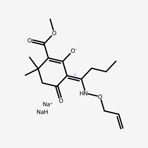 C=CCON/C(CCC)=C1\C(=O)CC(C)(C)C(C(=O)OC)=C1[O-].[Na+].[NaH]